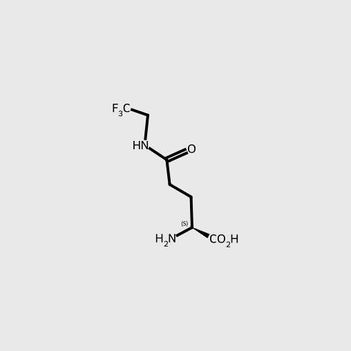 N[C@@H](CCC(=O)NCC(F)(F)F)C(=O)O